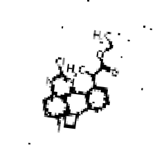 CCOC(=O)C(C)c1cccc(C2CCC2)c1-c1nc(Cl)nc2ccc(I)cc12